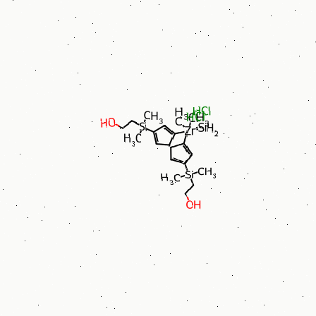 C[Si](C)(CCO)C1=CC[C]([Zr]([CH3])([CH3])(=[SiH2])[C]2=CC([Si](C)(C)CCO)=CC2)=C1.Cl.Cl